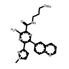 COCCCNC(=O)c1nc(-c2ccc3ncccc3c2)c(-c2ccn(C)n2)nc1N